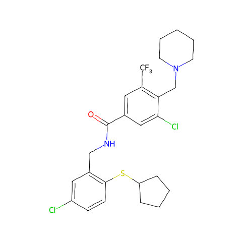 O=C(NCc1cc(Cl)ccc1SC1CCCC1)c1cc(Cl)c(CN2CCCCC2)c(C(F)(F)F)c1